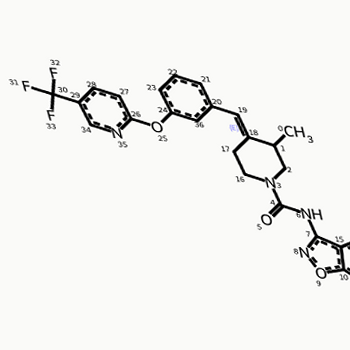 CC1CN(C(=O)Nc2noc3ccccc23)CC/C1=C\c1cccc(Oc2ccc(C(F)(F)F)cn2)c1